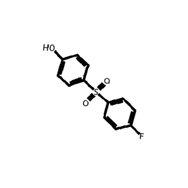 O=S(=O)(c1ccc(O)cc1)c1ccc(F)cc1